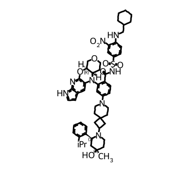 CC(C)c1ccccc1[C@@H]1C[C@@](C)(O)CCN1C1CC2(CCN(c3ccc(C(=O)NS(=O)(=O)c4ccc(NCC5CCCCC5)c([N+](=O)[O-])c4)c(N4c5cc6cc[nH]c6nc5O[C@H]5COCC[C@@H]54)c3)CC2)C1